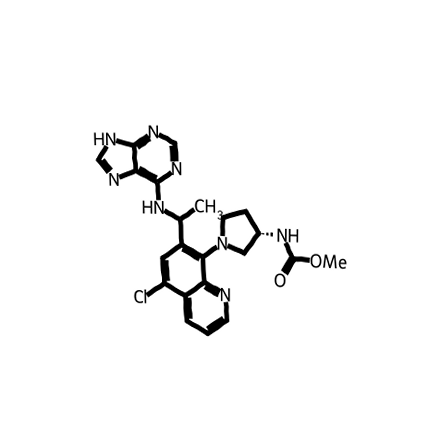 COC(=O)N[C@H]1CCN(c2c(C(C)Nc3ncnc4[nH]cnc34)cc(Cl)c3cccnc23)C1